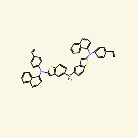 C=Cc1ccc(N(c2cc3cc([SiH2]c4ccc5sc(N(c6ccc(C=C)cc6)c6cccc7ccccc67)cc5c4)ccc3s2)c2cccc3ccccc23)cc1